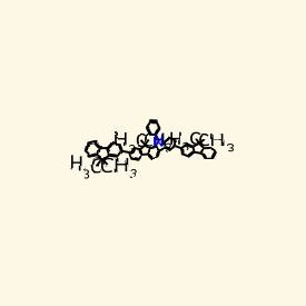 CC1(C)c2ccccc2-c2ccc(-c3ccc4c(c3)C(C)(C)c3c-4ccc4c5cc(-c6ccc7c(c6)C(C)(C)c6ccccc6-7)ccc5n(-c5ccccc5)c34)cc21